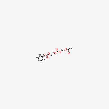 C=CC(=O)OCCOC(=O)OCCOC(=O)Oc1ccccc1